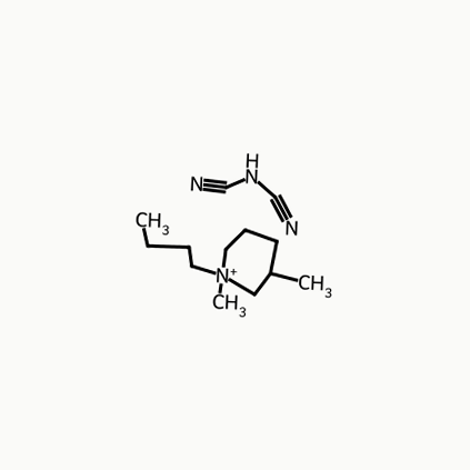 CCCC[N+]1(C)CCCC(C)C1.N#CNC#N